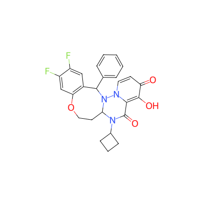 O=C1c2c(O)c(=O)ccn2N2C(c3ccccc3)c3cc(F)c(F)cc3OCCC2N1C1CCC1